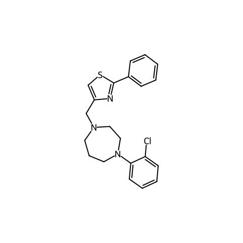 Clc1ccccc1N1CCCN(Cc2csc(-c3ccccc3)n2)CC1